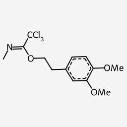 C/N=C(\OCCc1ccc(OC)c(OC)c1)C(Cl)(Cl)Cl